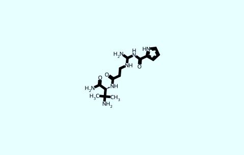 CC(C)(N)[C@@H](NC(=O)CCNC(N)NC(=O)c1ccc[nH]1)C(N)=O